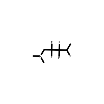 CC(F)C(F)(F)C(F)(F)CN(C)C